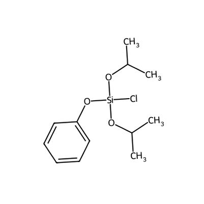 CC(C)O[Si](Cl)(Oc1ccccc1)OC(C)C